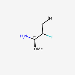 [2H]CC(F)[C@H](N)OC